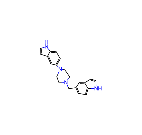 c1cc2cc(CN3CCN(c4ccc5[nH]ccc5c4)CC3)ccc2[nH]1